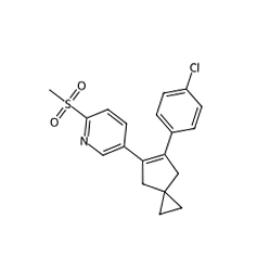 CS(=O)(=O)c1ccc(C2=C(c3ccc(Cl)cc3)CC3(CC3)C2)cn1